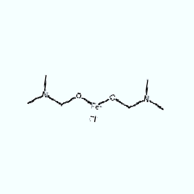 CN(C)C[O][Fe+][O]CN(C)C.[Cl-]